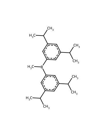 CB(c1cc(C(C)C)cc(C(C)C)c1)c1cc(C(C)C)cc(C(C)C)c1